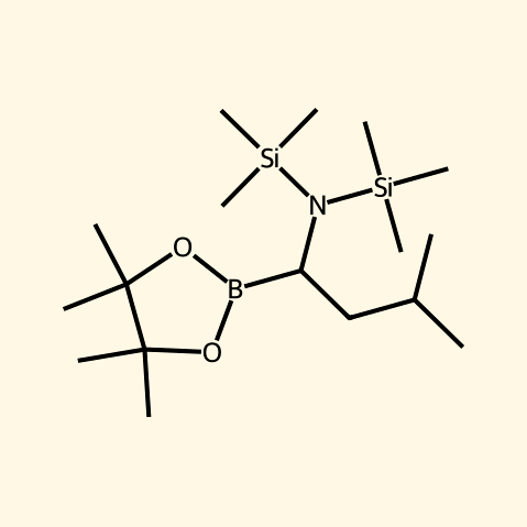 CC(C)CC(B1OC(C)(C)C(C)(C)O1)N([Si](C)(C)C)[Si](C)(C)C